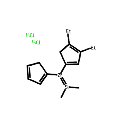 CCC1=C(CC)C[C]([Zr]([C]2=CC=CC2)=[Si](C)C)=C1.Cl.Cl